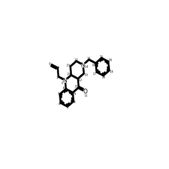 C=CCN1c2ccccc2C(=O)C2CN(Cc3ccccc3)CCC21